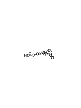 O=C(O)CC1CCC(c2ccc(OCC(O)CN3CCC(=C4c5ccc(Cl)cc5CCc5cccnc54)CC3)cc2)CC1